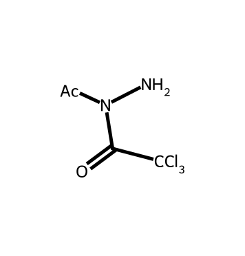 CC(=O)N(N)C(=O)C(Cl)(Cl)Cl